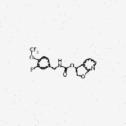 O=C(NCc1ccc(OC(F)(F)F)c(F)c1)OC1COc2ncccc21